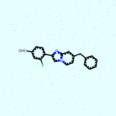 O=Cc1ccc(-c2cn3ccc(Cc4ccccc4)cc3n2)c(F)c1